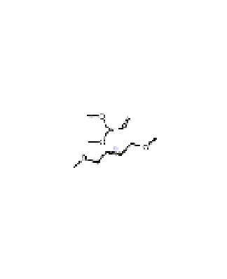 C=CC(OC)OC.COC/C=C/COC